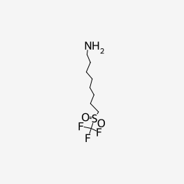 NCCCCCCCCS(=O)(=O)C(F)(F)F